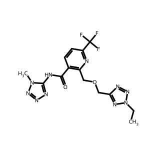 CCn1nnc(COCc2nc(C(F)(F)F)ccc2C(=O)Nc2nnnn2C)n1